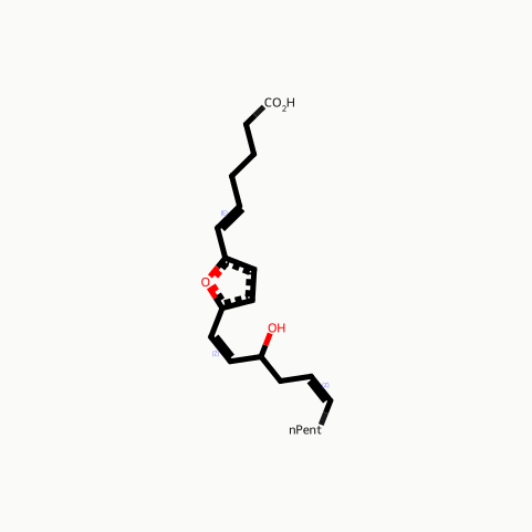 CCCCC/C=C\CC(O)/C=C\c1ccc(/C=C/CCCC(=O)O)o1